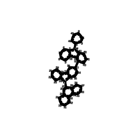 c1ccc(-n2c3ccccc3c3c(-c4ccc5c(c4)c4ccccc4n5-c4cc5ccccc5c5ccccc45)cccc32)cc1